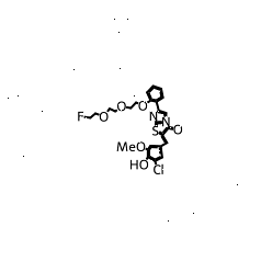 COc1cc(/C=c2\sc3nc(-c4ccccc4OCCOCCOCCF)cn3c2=O)cc(Cl)c1O